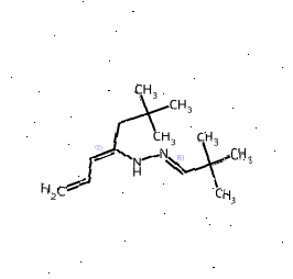 C=C/C=C(/CC(C)(C)C)N/N=C/C(C)(C)C